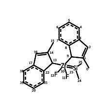 CC1=Cc2ccccc2[CH]1[Zr]([F])([F])([CH]1C(C)=Cc2ccccc21)=[Si](C)C